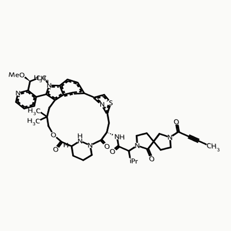 CC#CC(=O)N1CCC2(CCN(C(C(=O)N[C@H]3Cc4nc(cs4)-c4ccc5c(c4)c(c(-c4cccnc4[C@H](C)OC)n5C)CC(C)(C)COC(=O)[C@@H]4CCCN(N4)C3=O)C(C)C)C2=O)C1